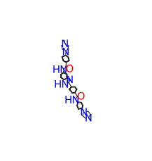 CN1CCN(c2ccc(NC(=O)c3ccc(-c4nc5cc(NC(=O)c6ccc(N7CCN(C)CC7)cc6)ccc5[nH]4)cc3)cc2)CC1